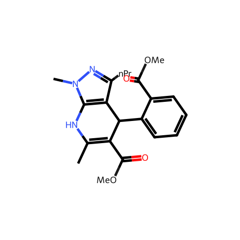 CCCc1nn(C)c2c1C(c1ccccc1C(=O)OC)C(C(=O)OC)=C(C)N2